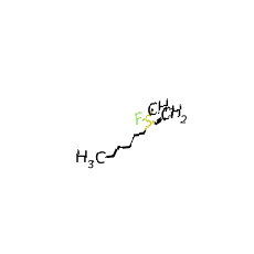 C=CS(C)(F)CCCCCC